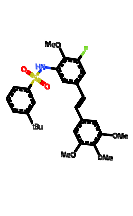 COc1cc(C=Cc2cc(F)c(OC)c(NS(=O)(=O)c3cccc(C(C)(C)C)c3)c2)cc(OC)c1OC